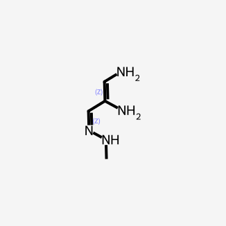 CN/N=C\C(N)=C\N